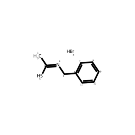 Br.CC(S)=NCc1ccccc1